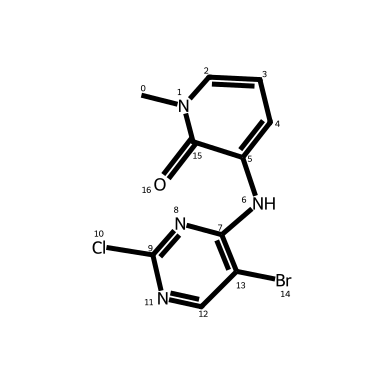 Cn1cccc(Nc2nc(Cl)ncc2Br)c1=O